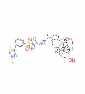 CC[C@H]1[C@@H](O)[C@@H]2[C@H](CC[C@]3(C)[C@@H]([C@H](C)CCNC(=O)NS(=O)(=O)c4cccc(-c5nc(C)cs5)c4)CC[C@@H]23)[C@@]2(C)CC[C@@H](O)C[C@@H]12